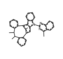 Cc1c2cc3c(c1-c1ccccc1C(C)C(C)c1ccccc1-2)c1ccccc1n3-c1nc(C)c2ccccc2n1